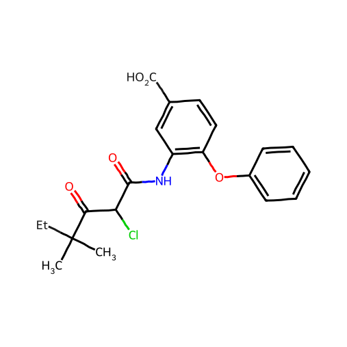 CCC(C)(C)C(=O)C(Cl)C(=O)Nc1cc(C(=O)O)ccc1Oc1ccccc1